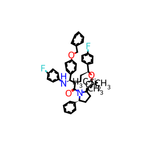 C=C1CC[C@H](c2ccccc2)N1C(=O)[C@H](CC[C@H](O[Si](C)(C)C)c1ccc(F)cc1)[C@H](Nc1ccc(F)cc1)c1ccc(OCc2ccccc2)cc1